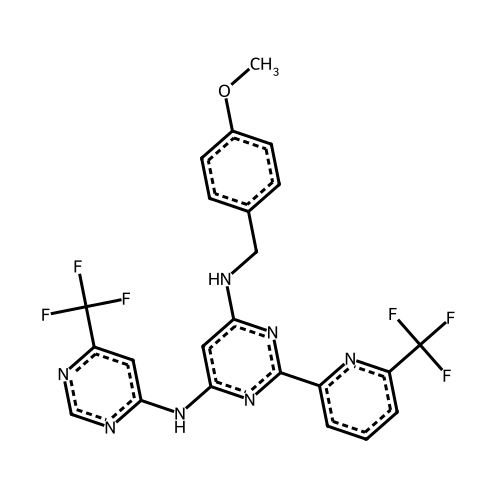 COc1ccc(CNc2cc(Nc3cc(C(F)(F)F)ncn3)nc(-c3cccc(C(F)(F)F)n3)n2)cc1